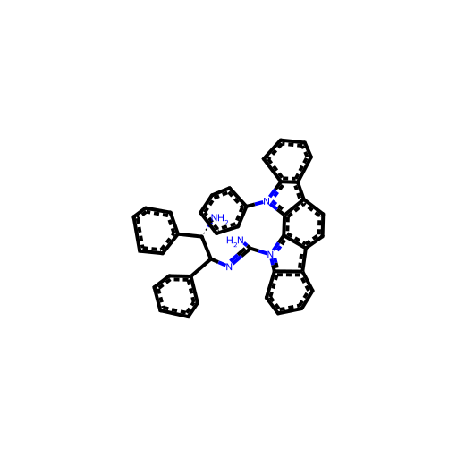 N/C(=N\C(c1ccccc1)[C@@H](N)c1ccccc1)n1c2ccccc2c2ccc3c4ccccc4n(-c4ccccc4)c3c21